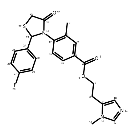 Cc1cc(C(=O)OCCc2cncn2C)ccc1N1C(=O)CSC1c1ccc(F)cc1